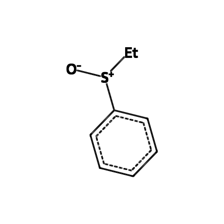 [CH2]C[S+]([O-])c1ccccc1